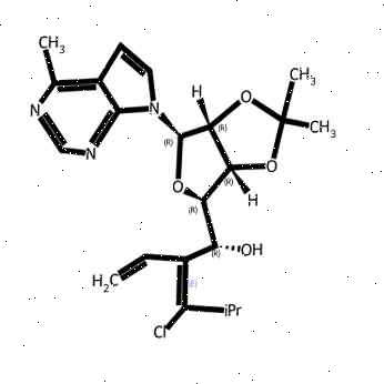 C=C/C(=C(\Cl)C(C)C)[C@@H](O)[C@H]1O[C@@H](n2ccc3c(C)ncnc32)[C@@H]2OC(C)(C)O[C@@H]21